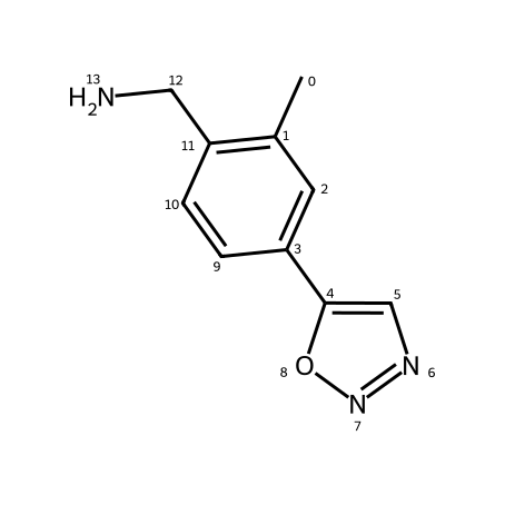 Cc1cc(-c2cnno2)ccc1CN